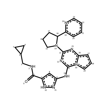 O=C(NCC1CC1)c1cc(Nc2nc(N3CCCC3c3ccccn3)nc3cccn23)n[nH]1